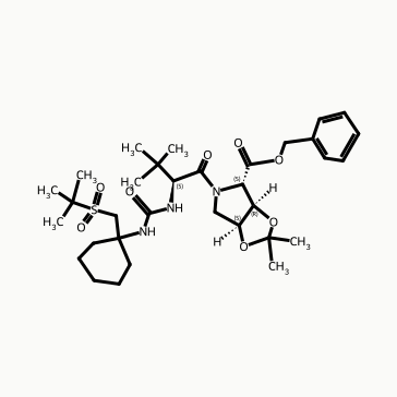 CC1(C)O[C@H]2[C@H](CN(C(=O)[C@@H](NC(=O)NC3(CS(=O)(=O)C(C)(C)C)CCCCC3)C(C)(C)C)[C@@H]2C(=O)OCc2ccccc2)O1